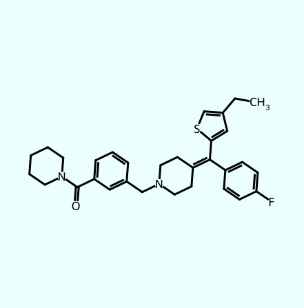 CCc1csc(C(=C2CCN(Cc3cccc(C(=O)N4CCCCC4)c3)CC2)c2ccc(F)cc2)c1